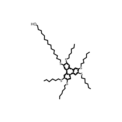 CCCCCCSc1cc2c3cc(SCCCCCC)c(SCCCCCC)cc3c3cc(SCCCCCCCCCCCCCCCO)c(SCCCCCC)cc3c2cc1SCCCCCC